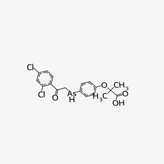 CC(C)(Oc1ccc([AsH]CC(=O)c2ccc(Cl)cc2Cl)cc1)C(=O)O